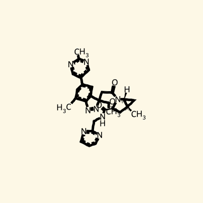 CC(=O)C1(CC(=O)N2[C@H](C(=O)NCc3ncccn3)C[C@@]3(C)C[C@@H]23)N=Nc2c(C)cc(-c3cnc(C)nc3)cc21